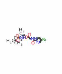 CC(COC(=O)CNC(=O)c1ccc(Br)cn1)NC(=O)OC(C)(C)C